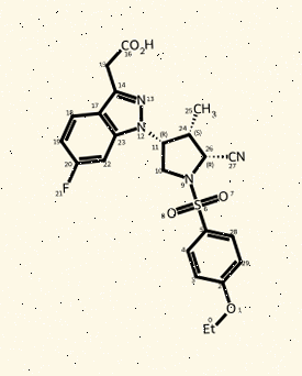 CCOc1ccc(S(=O)(=O)N2C[C@H](n3nc(CC(=O)O)c4ccc(F)cc43)[C@H](C)[C@@H]2C#N)cc1